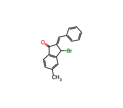 Cc1ccc2c(c1)C(Br)/C(=C\c1ccccc1)C2=O